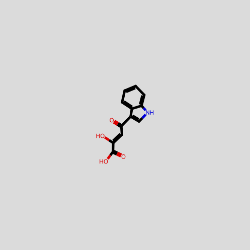 O=C(O)/C(O)=C/C(=O)c1c[nH]c2ccccc12